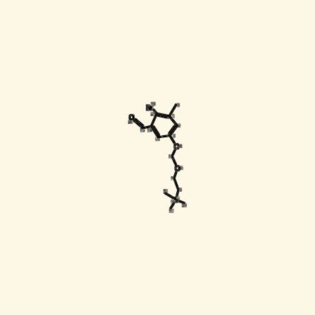 Cc1cc(OCOCC[Si](C)(C)C)cc(C=O)c1Br